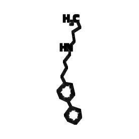 CCCCNCCCCc1ccc(-c2ccccc2)cc1